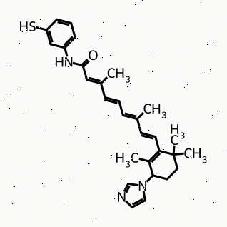 CC1=C(/C=C/C(C)=C/C=C/C(C)=C/C(=O)Nc2cccc(S)c2)C(C)(C)CCC1n1ccnc1